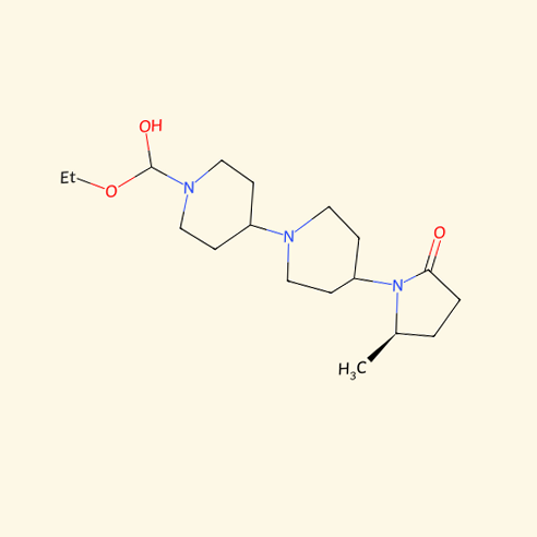 CCOC(O)N1CCC(N2CCC(N3C(=O)CC[C@H]3C)CC2)CC1